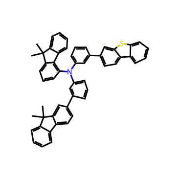 CC1(C)c2ccccc2-c2ccc(-c3cccc(N(c4cccc(-c5ccc6c(c5)sc5ccccc56)c4)c4cccc5c4-c4ccccc4C5(C)C)c3)cc21